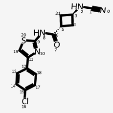 N#CN[C@H]1C[C@H](C(=O)Nc2nc(-c3ccc(Cl)cc3)cs2)C1